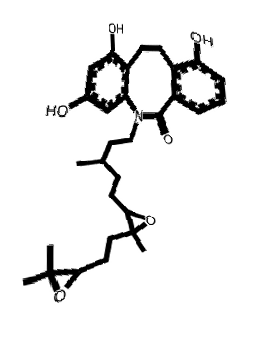 CC(CCC1OC1(C)CCC1OC1(C)C)CCN1C(=O)c2cccc(O)c2CCc2c(O)cc(O)cc21